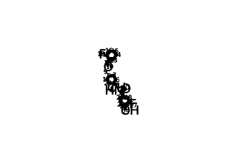 O=C(NC[C@]1(O)CC[C@@H](COCc2ccccc2F)CC1)c1ccc(O)c(F)c1